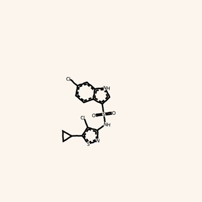 O=S(=O)(Nc1nsc(C2CC2)c1Cl)c1c[nH]c2cc(Cl)ccc12